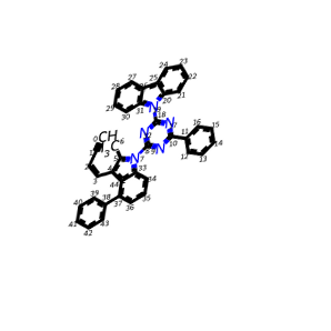 C#C/C=C\c1c(C)n(-c2nc(-c3ccccc3)nc(-n3c4ccccc4c4ccccc43)n2)c2cccc(-c3ccccc3)c12